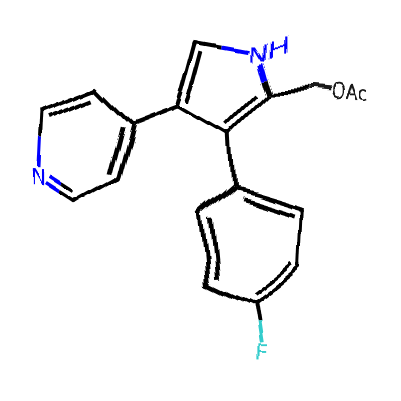 CC(=O)Oc1[nH]cc(-c2ccncc2)c1-c1ccc(F)cc1